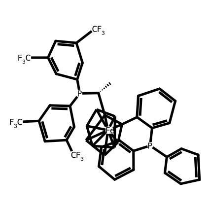 C[C@@H](P(c1cc(C(F)(F)F)cc(C(F)(F)F)c1)c1cc(C(F)(F)F)cc(C(F)(F)F)c1)[C]12[CH]3[CH]4[CH]5[C]1(c1ccccc1P(c1ccccc1)c1ccccc1)[Fe]45321678[CH]2[CH]1[CH]6[CH]7[CH]28